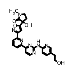 CN1CCC(O)(c2cc(-c3cccc(-c4ccnc(Nc5ccc(CCO)cn5)n4)n3)no2)C1=O